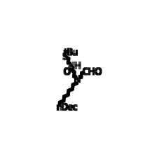 CCCCCCCCCCCCCCCCCCN(CCC=O)CCC(=O)NCCSC(C)(C)C